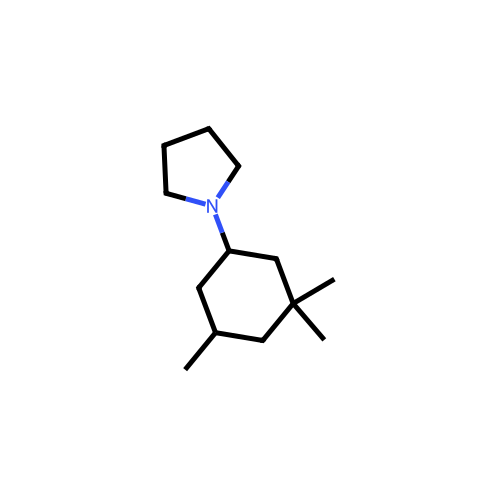 CC1CC(N2CCCC2)CC(C)(C)C1